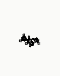 Cn1ccc2n1c(Cl)c(-c1cc(Cl)cc(Cl)c1)c(=O)[n+]2Cc1cnc(Cl)s1